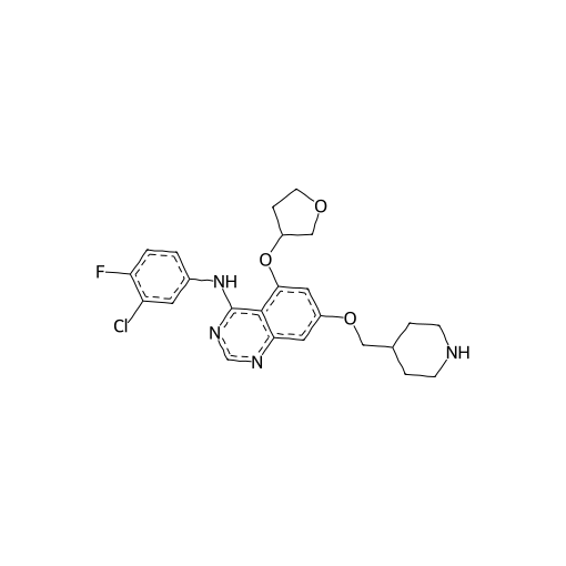 Fc1ccc(Nc2ncnc3cc(OCC4CCNCC4)cc(OC4CCOC4)c23)cc1Cl